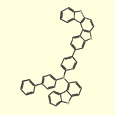 c1ccc(-c2ccc(N(c3ccc(-c4ccc5c(c4)sc4ccc6oc7ccccc7c6c45)cc3)c3cccc4oc5ccccc5c34)cc2)cc1